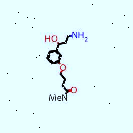 CNC(=O)CCCOc1cccc(C(O)CCN)c1